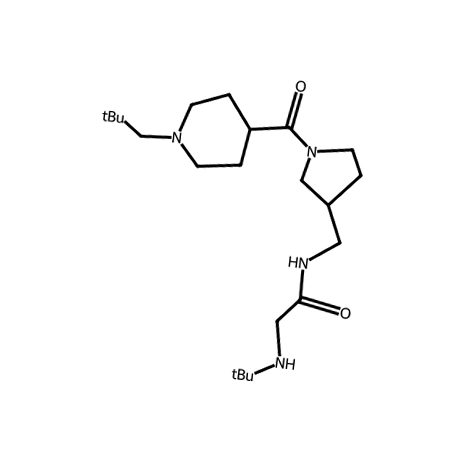 CC(C)(C)CN1CCC(C(=O)N2CCC(CNC(=O)CNC(C)(C)C)C2)CC1